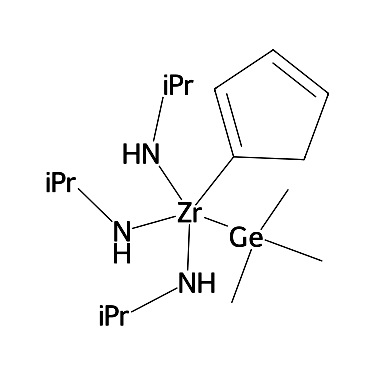 CC(C)[NH][Zr]([NH]C(C)C)([NH]C(C)C)([C]1=CC=CC1)[Ge]([CH3])([CH3])[CH3]